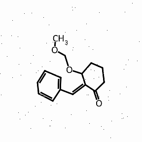 COCOC1CCCC(=O)C1=Cc1ccccc1